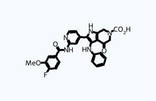 COc1cc(C(=O)Nc2cc(-c3[nH]c4c(c3Nc3ccccc3)C(=O)CN(C(=O)O)C4)ccn2)ccc1F